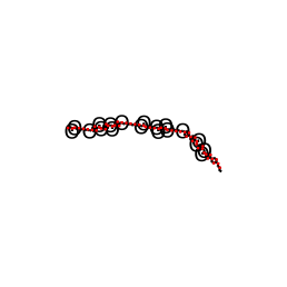 C=CC(=O)OCCCCCCOc1ccc(C(=O)Oc2ccc(OC(=O)c3ccc(OCCCCCCCCOC(=O)CCCCCOC(=O)CCC(=O)OCCCCCCOc4ccc(-c5ccc(C(=O)Oc6ccc(OC(=O)C7CCC(C8CCC(CCCCC)CC8)CC7)cc6)cc5)cc4)cc3)cc2)cc1